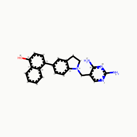 Nc1ncc(CN2CCc3cc(-c4ccc(O)c5ccccc45)ccc32)c(N)n1